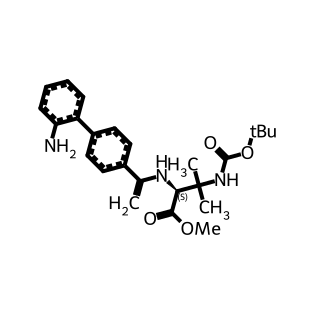 C=C(N[C@H](C(=O)OC)C(C)(C)NC(=O)OC(C)(C)C)c1ccc(-c2ccccc2N)cc1